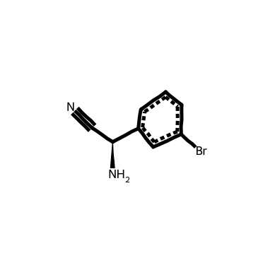 N#C[C@H](N)c1cccc(Br)c1